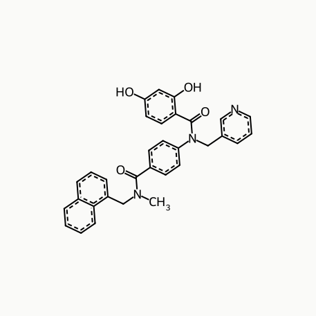 CN(Cc1cccc2ccccc12)C(=O)c1ccc(N(Cc2cccnc2)C(=O)c2ccc(O)cc2O)cc1